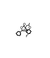 CC1CC2(N[C@@H](c3ccccc3)OC2=O)c2cc(F)ccc2O1